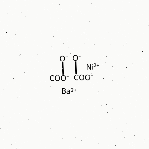 O=C([O-])[O-].O=C([O-])[O-].[Ba+2].[Ni+2]